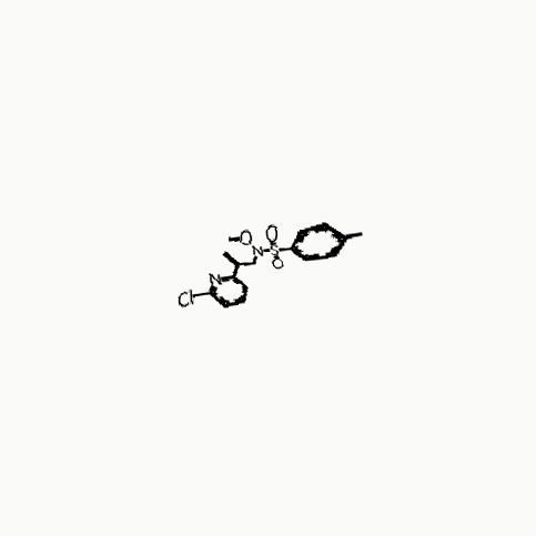 C=C(CN(OC)S(=O)(=O)c1ccc(C)cc1)c1cccc(Cl)n1